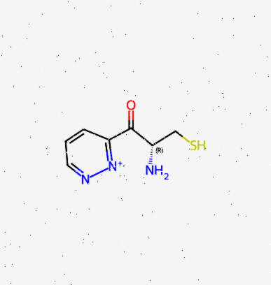 N[C@@H](CS)C(=O)C1=[N+]N=CC=C1